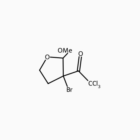 COC1OCCC1(Br)C(=O)C(Cl)(Cl)Cl